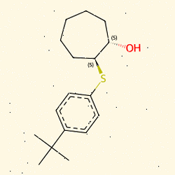 CC(C)(C)c1ccc(S[C@H]2CCCCC[C@@H]2O)cc1